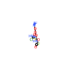 COc1ccc([C@@H](C)NC(=O)[C@@H](CCOCCOCCOCCN=[N+]=[N-])Sc2nc(=O)[nH]cc2Cl)c(F)c1